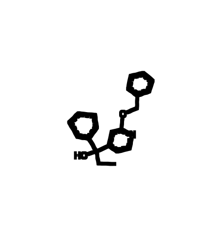 CCC(O)(c1ccccc1)c1ccnc(OCc2ccccc2)c1